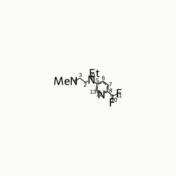 CCN(CCNC)c1ccc(C(F)F)nc1